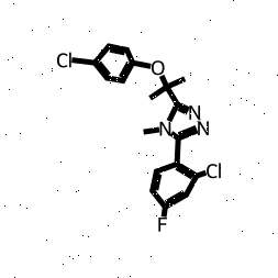 Cn1c(-c2ccc(F)cc2Cl)nnc1C(C)(C)Oc1ccc(Cl)cc1